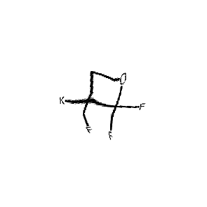 F[C]1([K])COC1(F)F